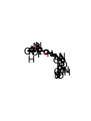 CCN(C)S(=O)(=O)Nc1ccc(F)c(Oc2ccc3ncn(C4CC5(C4)CN(C4CCC(c6cc7c(cc6F)c(N6CCC(=O)NC6=O)nn7C)CC4)C5)c(=O)c3c2)c1C#N